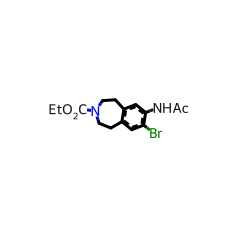 CCOC(=O)N1CCc2cc(Br)c(NC(C)=O)cc2CC1